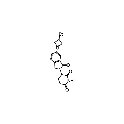 CCC1CN(c2ccc3c(c2)C(=O)N(C2CCC(=O)NC2=O)C3)C1